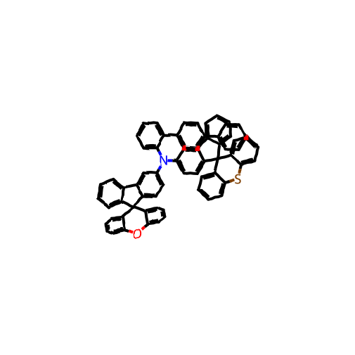 c1ccc(-c2ccc(-c3ccccc3N(c3ccc4c(c3)-c3ccccc3C43c4ccccc4Oc4ccccc43)c3ccc4c(c3)-c3ccccc3C43c4ccccc4Sc4ccccc43)cc2)cc1